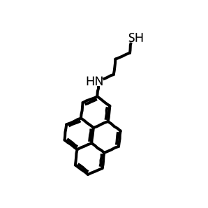 SCCCNc1cc2ccc3cccc4ccc(c1)c2c34